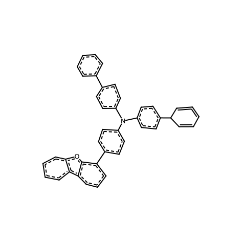 C1=CC=CC(c2ccc(N(c3ccc(-c4ccccc4)cc3)c3ccc(-c4cccc5c4oc4ccccc45)cc3)cc2)C=1